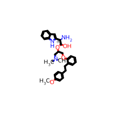 COc1ccc(CCc2ccccc2OCC(CN(C)C)OC(O)[C@H](N)c2cc3ccccc3[nH]2)cc1